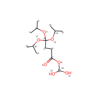 CC(C)OC(CCC(=O)OB(O)O)(OC(C)C)OC(C)C